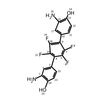 Nc1cc(-c2c(F)c(F)c(-c3ccc(O)c(N)c3)c(F)c2F)ccc1O